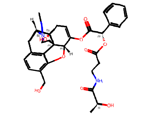 C[C@H](O)C(=O)NCCC(=O)O[C@H](C(=O)OC1=CC[C@@]2(O)[C@H]3Cc4ccc(CO)c5c4[C@@]2(CCN3C)[C@H]1O5)c1ccccc1